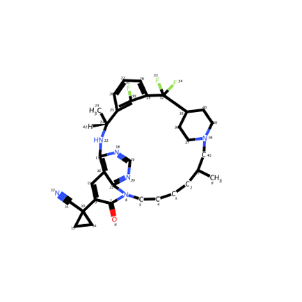 CC1CCCCn2c(=O)c(C3(C#N)CC3)cc3c(ncnc32)N[C@H](C)c2cccc(c2F)C(F)(F)C2CCN(CC2)C1